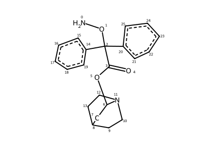 NOC(C(=O)OC1CC2CCN1CC2)(c1ccccc1)c1ccccc1